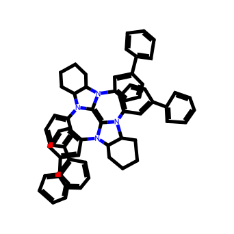 c1ccc(-c2cccc(N3C(=C4N(c5cccc(-c6ccccc6)c5)C5CCCCC5N4c4cccc(-c5ccccc5)c4)N(c4cccc(-c5ccccc5)c4)C4CCCCC43)c2)cc1